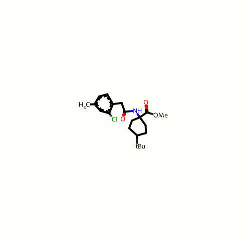 COC(=O)C1(NC(=O)Cc2ccc(C)cc2Cl)CCC(C(C)(C)C)CC1